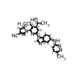 Cc1ccc(Nc2ccc3c(c2)ncn3-c2cc(C(C)O)c(Cl)c(-n3nc(C#N)cc3C)n2)nn1